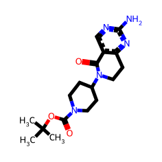 CC(C)(C)OC(=O)N1CCC(N2CCc3nc(N)ncc3C2=O)CC1